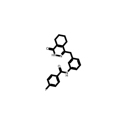 O=C(Nc1cccc(Cc2n[nH]c(=O)c3c2CCCC3)c1)c1ccc(I)cc1